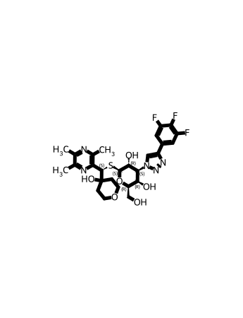 Cc1nc(C)c([C@H](S[C@@H]2O[C@H](CO)[C@H](O)[C@H](n3cc(-c4cc(F)c(F)c(F)c4)nn3)[C@H]2O)C2(O)CCOCC2)nc1C